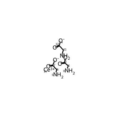 NCC(=O)[O-].NCC(=O)[O-].NCC(=O)[O-].[Ce+3]